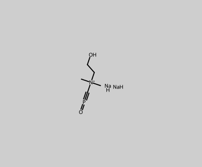 C[N+](C)(C#P=O)CCO.[NaH].[NaH]